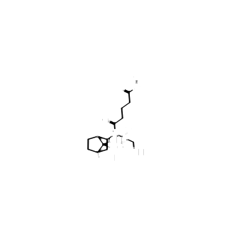 CCS(=O)(=O)N(C(=O)CCCC(=O)OC)C1C[C@@H]2CCC1C2(C)C